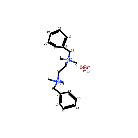 C[N+](C)(CC[N+](C)(C)Cc1ccccc1)Cc1ccccc1.[Br-].[Br-]